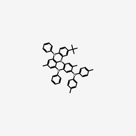 Cc1ccc(N(c2ccc(C)cc2)c2cc3c(cc2C)B2c4cc(C(C)(C)C)ccc4N(c4ccccc4)c4cc(C)cc(c42)N3c2ccccc2)cc1